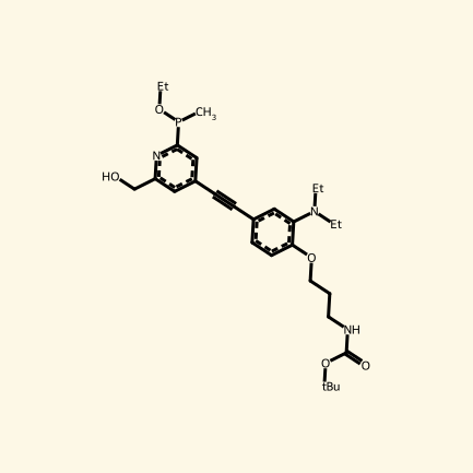 CCOP(C)c1cc(C#Cc2ccc(OCCCNC(=O)OC(C)(C)C)c(N(CC)CC)c2)cc(CO)n1